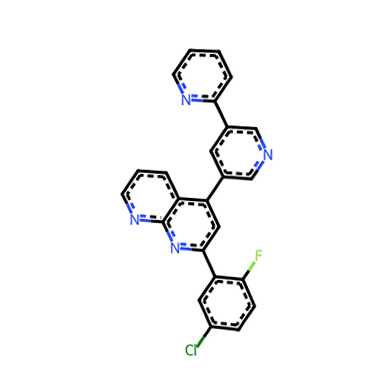 Fc1ccc(Cl)cc1-c1cc(-c2cncc(-c3ccccn3)c2)c2cccnc2n1